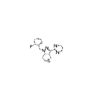 Fc1ccccc1Cn1nc(-c2ncccn2)c2c1CCSC2